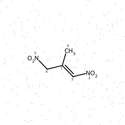 C/C(=C\[N+](=O)[O-])C[N+](=O)[O-]